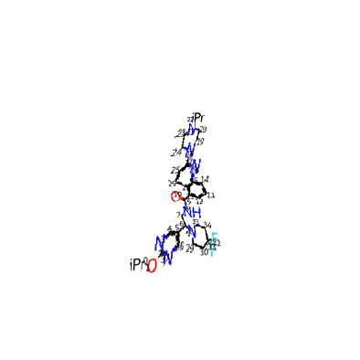 CC(C)Oc1ncc(C(CNC(=O)c2cccc3nc(N4CCN(C(C)C)CC4)ccc23)N2CCC(F)(F)CC2)cn1